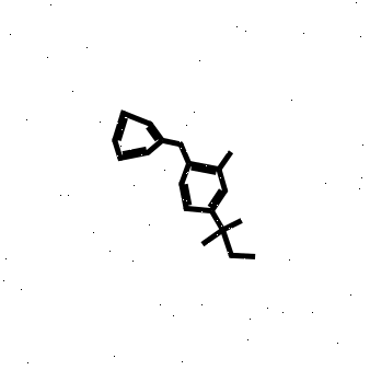 CCC(C)(C)c1ccc(Cc2ccccc2)c(C)c1